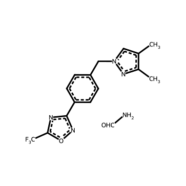 Cc1cn(Cc2ccc(-c3noc(C(F)(F)F)n3)cc2)nc1C.NC=O